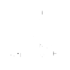 CC(C)c1ccc(COc2cc([N+](=O)[O-])ccc2N(C)S(C)(=O)=O)cc1